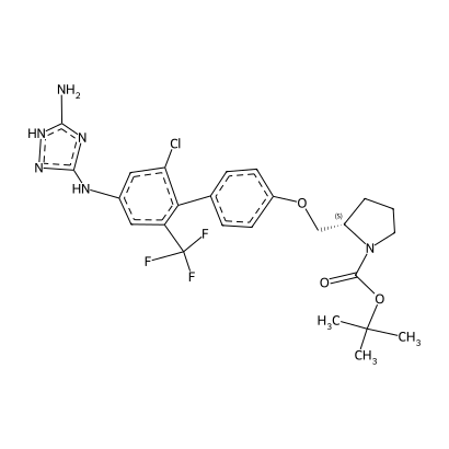 CC(C)(C)OC(=O)N1CCC[C@H]1COc1ccc(-c2c(Cl)cc(Nc3n[nH]c(N)n3)cc2C(F)(F)F)cc1